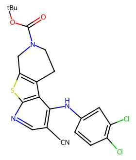 CC(C)(C)OC(=O)N1CCc2c(sc3ncc(C#N)c(Nc4ccc(Cl)c(Cl)c4)c23)C1